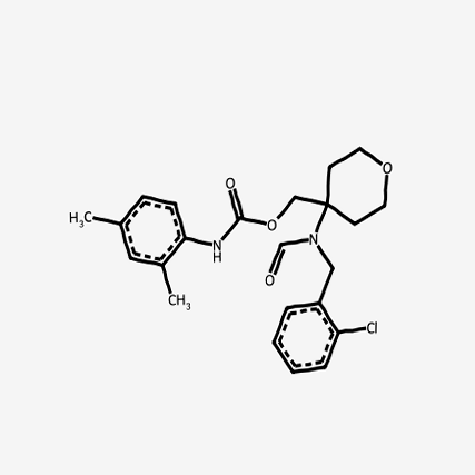 Cc1ccc(NC(=O)OCC2(N(C=O)Cc3ccccc3Cl)CCOCC2)c(C)c1